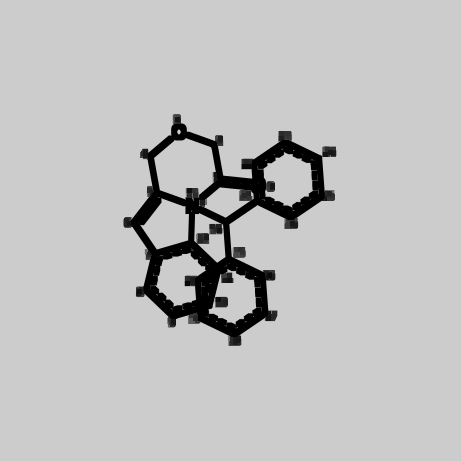 O=C1COCC2=Cc3ccccc3[N+]12C(c1ccccc1)c1ccccc1